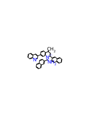 C=C(/C=C(\N=C(/N)c1ccc2ccccc2c1)c1ccc2ccccc2c1)c1ccc(-c2cnc3ccccc3c2)cc1